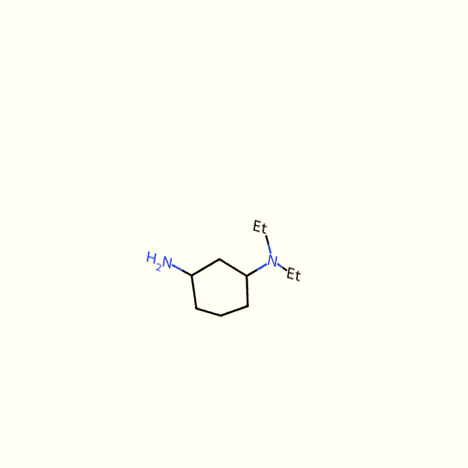 CCN(CC)C1CCCC(N)C1